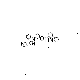 O=C(c1cccnc1)c1ccccc1Nc1[c]c(OCCc2cccc3c2[nH]c2ccccc23)ccc1